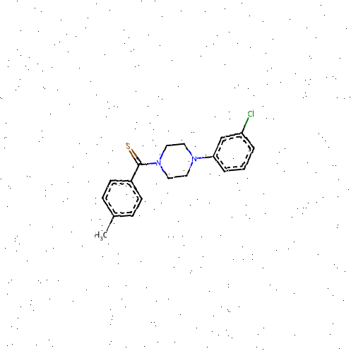 Cc1ccc(C(=S)N2CCN(c3cccc(Cl)c3)CC2)cc1